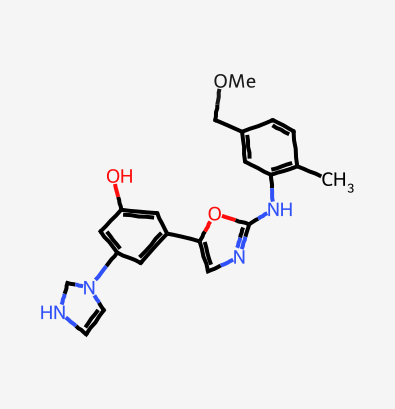 COCc1ccc(C)c(Nc2ncc(-c3cc(O)cc(N4C=CNC4)c3)o2)c1